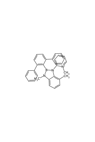 Cc1cccc2c1N(c1cccc[n+]1C)B(c1c(-c3ccccc3)cccc1-c1ccccc1)N2C